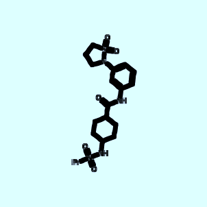 CC(C)S(=O)(=O)NC1CCC(C(=O)Nc2cccc(N3CCCS3(=O)=O)c2)CC1